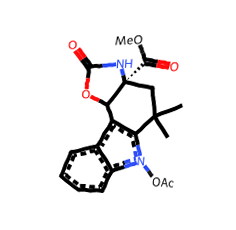 COC(=O)[C@]12CC(C)(C)c3c(c4ccccc4n3OC(C)=O)C1OC(=O)N2